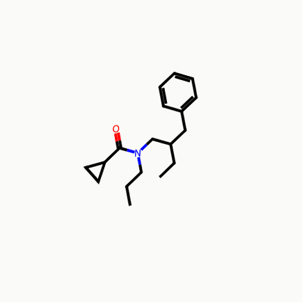 CCCN(CC(CC)Cc1ccccc1)C(=O)C1CC1